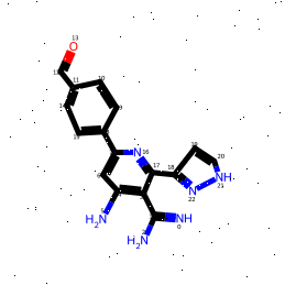 N=C(N)c1c(N)cc(-c2ccc(C=O)cc2)nc1-c1cc[nH]n1